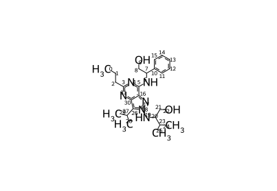 CCCc1nc(NC(CO)c2ccccc2)c2nn(NC(CO)C(C)C)c(C(C)C)c2n1